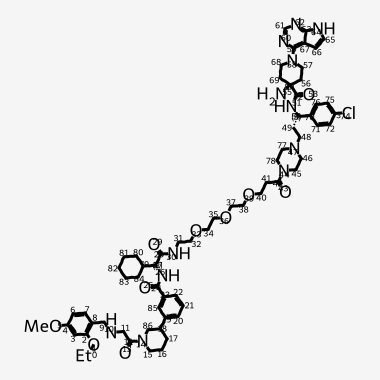 CCOc1cc(OC)ccc1CNCC(=O)N1CCCC(c2cccc(C(=O)N[C@@H](C(=O)NCCOCCOCCOCCC(=O)N3CCN(CC[C@H](NC(=O)C4(N)CCN(c5ncnc6[nH]ccc56)CC4)c4ccc(Cl)cc4)CC3)C3CCCCC3)c2)C1